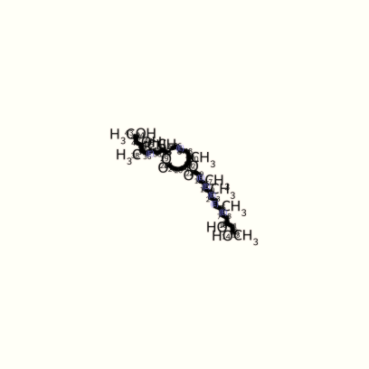 CC(=C\C=C\C(C)=C\C[C@@H](O)C[C@@H](C)O)/C=C(C)/C=C/C(=O)O[C@H]1CCCC(=O)O[C@@H]([C@@H](C)C/C(C)=C/[C@@H](C)[C@H](O)C[C@@H](C)O)C/C=C/C[C@@H]1C